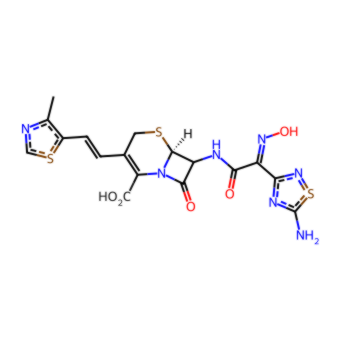 Cc1ncsc1C=CC1=C(C(=O)O)N2C(=O)C(NC(=O)C(=NO)c3nsc(N)n3)[C@@H]2SC1